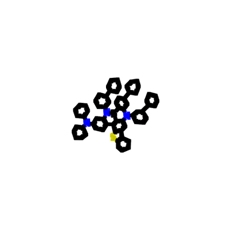 c1ccc(-c2cccc(N3B4c5ccc(-c6ccccc6)cc5N(c5cccc(-c6ccccc6)c5)c5cc6c(sc7ccccc76)c(c54)-c4ccc(N(c5ccccc5)c5ccccc5)cc43)c2)cc1